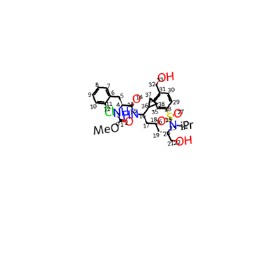 COC(=O)N[C@@H](Cc1ccccc1Cl)C(=O)N[C@H](CCC[C@@H](CO)N(C(C)C)S(=O)(=O)c1ccc(CO)cc1)C1CC1